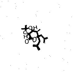 CC(C)CC1(CC(C)C)OC(=O)[C@@H]2OC(C)(C)O[C@@H]2[C@H]1C